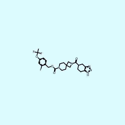 CC(F)(F)Oc1ccc(COC(=O)N2CCC3(CC2)CN(C(=O)C2CCc4[nH]nnc4C2)C3)c(F)c1